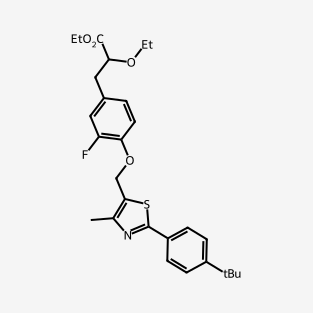 CCOC(=O)C(Cc1ccc(OCc2sc(-c3ccc(C(C)(C)C)cc3)nc2C)c(F)c1)OCC